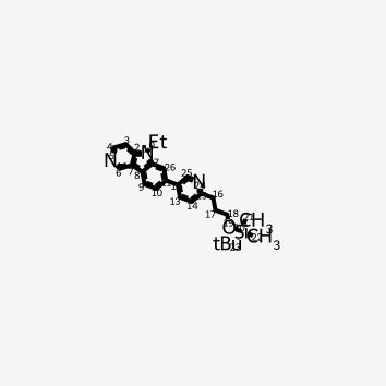 CCn1c2ccncc2c2ccc(-c3ccc(CCCO[Si](C)(C)C(C)(C)C)nc3)cc21